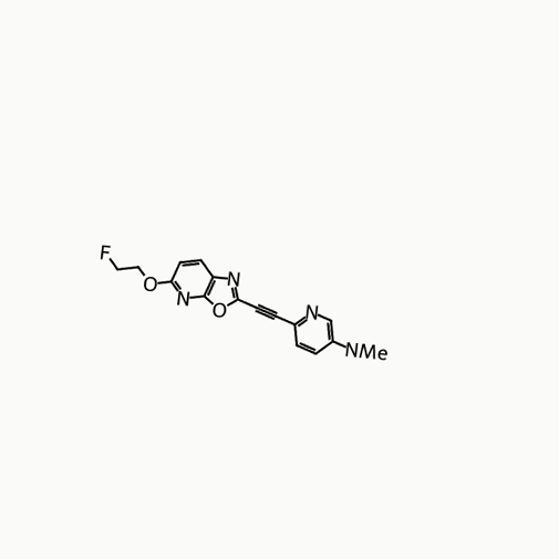 CNc1ccc(C#Cc2nc3ccc(OCCF)nc3o2)nc1